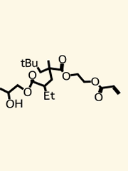 C=CC(=O)OCCOC(=O)C(C)(CC(CC)C(=O)OCC(C)O)CC(C)(C)C